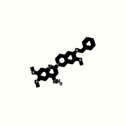 COc1cc2nc(N3CCc4cc(OCc5ccccc5)c(OC)cc4C3)cc(N)c2cc1OC